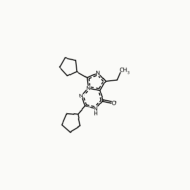 CCc1nc(C2CCCC2)n2nc(C3CCCC3)[nH]c(=O)c12